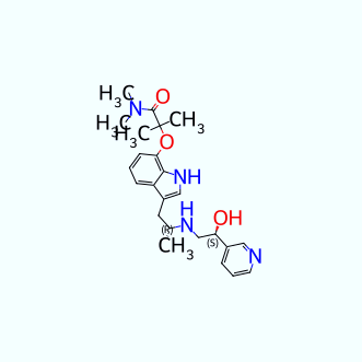 C[C@H](Cc1c[nH]c2c(OC(C)(C)C(=O)N(C)C)cccc12)NC[C@@H](O)c1cccnc1